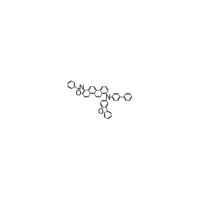 c1ccc(-c2ccc(N(c3ccc4oc5ccccc5c4c3)c3cccc4c3ccc3c4ccc4c3ccc3oc(-c5ccccc5)nc34)cc2)cc1